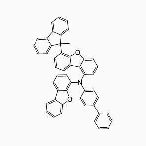 CC1(c2cccc3c2oc2cccc(N(c4ccc(-c5ccccc5)cc4)c4cccc5c4oc4ccccc45)c23)c2ccccc2-c2ccccc21